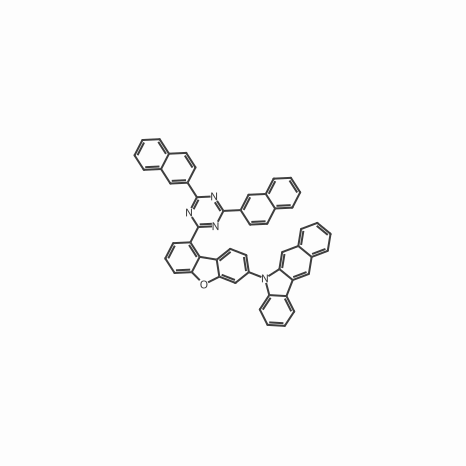 c1ccc2cc(-c3nc(-c4ccc5ccccc5c4)nc(-c4cccc5oc6cc(-n7c8ccccc8c8cc9ccccc9cc87)ccc6c45)n3)ccc2c1